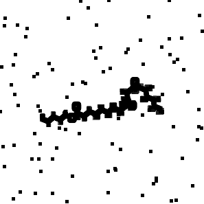 CCCCCOC(=O)CCCCCCCC1OC1CC1OC1CCCCC